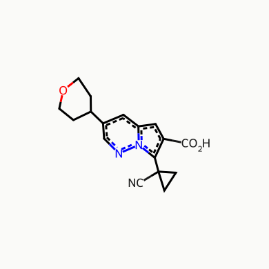 N#CC1(c2c(C(=O)O)cc3cc(C4CCOCC4)cnn23)CC1